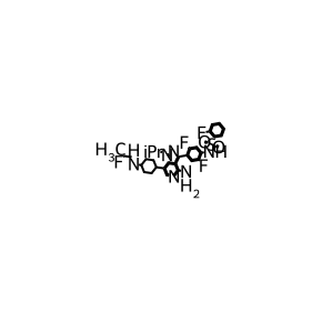 CC(F)CNC1CCC(c2cnc(N)c3c(-c4cc(F)c(NS(=O)(=O)c5ccccc5F)cc4F)nn(C(C)C)c23)CC1